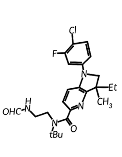 CCC1(C)CN(c2ccc(Cl)c(F)c2)c2ccc(C(=O)N(CCNC=O)C(C)(C)C)nc21